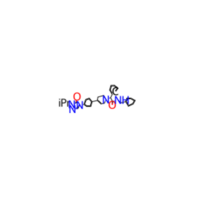 CC(C)n1ncn(-c2ccc(C3=CCN(C(C(=O)NCc4ccccc4)c4ccccc4)CC3)cc2)c1=O